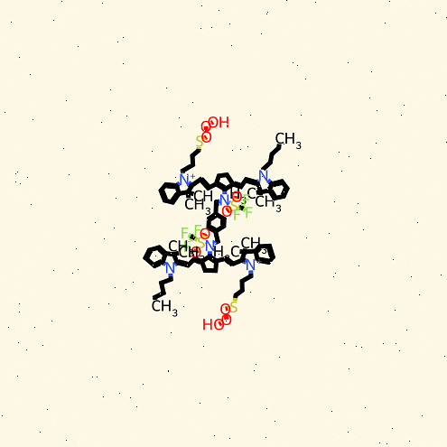 CCCCCN1/C(=C/C=C2\CCC(/C=C/C3=[N+](CCCCSOOO)c4ccccc4C3(C)C)=C2N(Cc2ccc(CN(C3=C(/C=C/C4=[N+](CCCCSOOO)c5ccccc5C4(C)C)CC/C3=C\C=C3\N(CCCCC)c4ccccc4C3(C)C)S(=O)(=O)C(F)(F)F)cc2)S(=O)(=O)C(F)(F)F)C(C)(C)c2ccccc21